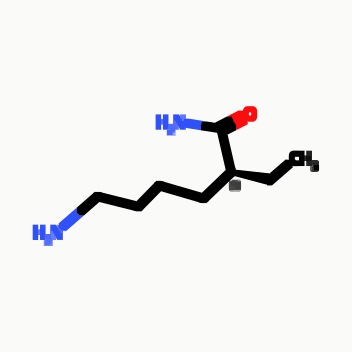 CC[C@@H](CCCCN)C(N)=O